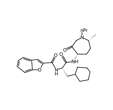 CCCN1CC(=O)[C@@H](NC(=O)[C@H](CC2CCCCC2)NC(=O)c2cc3ccccc3o2)CC[C@H]1C